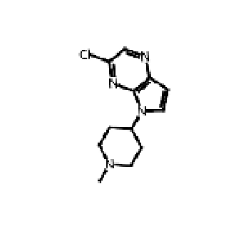 CN1CCC(n2ccc3ncc(Cl)nc32)CC1